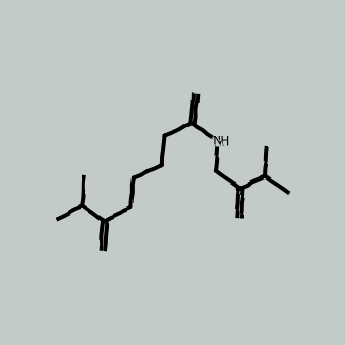 C=C(CCCCC(=C)C(C)C)NCC(=C)C(C)C